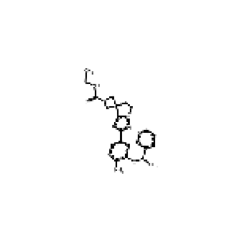 CCNC(=O)N1CC2(CCn3nc(-c4cnc(N)c(O[C@H](C)c5cccnc5)c4)cc32)C1